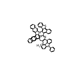 CCC1=C(c2cccc3c2c2ccccc2n3-c2ccccc2)N=C(c2c(-n3c4cc5ccccc5cc4c4c5ccccc5ccc43)c3c4ccccc4sc3c3ccccc23)N=C(c2ccc3ccccc3c2)C1